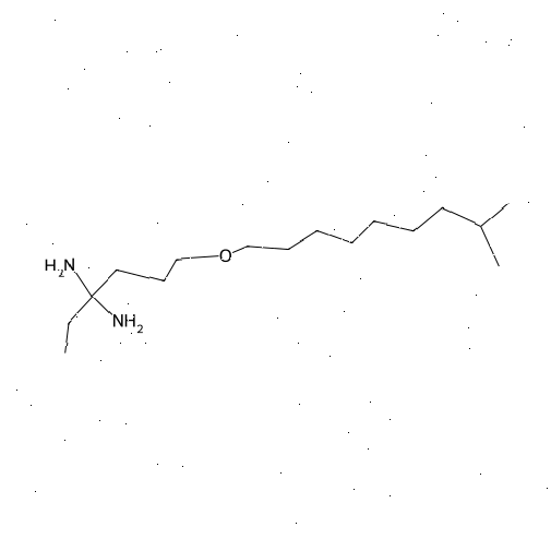 CCC(N)(N)CCCOCCCCCCCC(C)C